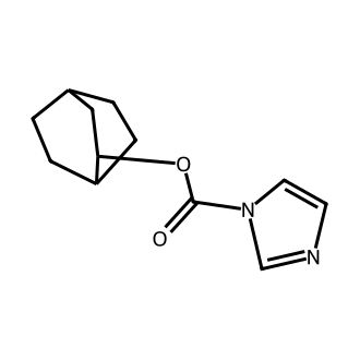 O=C(OC1CC2CCC1CC2)n1ccnc1